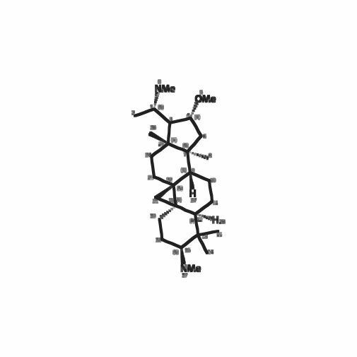 CN[C@@H](C)C1[C@H](OC)C[C@@]2(C)[C@@H]3CC[C@H]4C(C)(C)[C@@H](NC)CC[C@@]45C[C@@]35CC[C@]12C